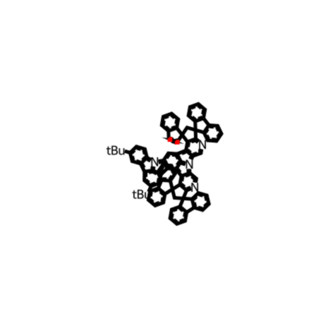 CC(C)(C)c1ccc2c(c1)c1cc(C(C)(C)C)cc3c4c5c6c7c(ncc6n6c8cnc9c(c8c(cc4n2c13)c56)C1(CC92c3ccccc3-c3ccccc32)c2ccccc2-c2ccccc21)C1(CC72c3ccccc3-c3ccccc32)c2ccccc2-c2ccccc21